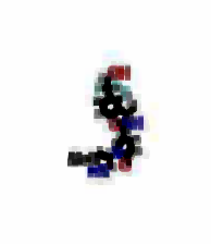 CN/C=C(\C=N)n1cc(C(=O)N[C@H](C)c2cccc(C(F)(F)CO)c2F)ccc1=O